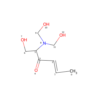 CC=CC(=O)C(CO)N(CO)CO